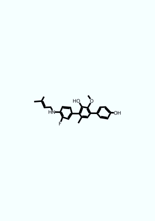 COc1c(-c2ccc(O)cc2)cc(C)c(-c2ccc(NCC=C(C)C)c(F)c2)c1O